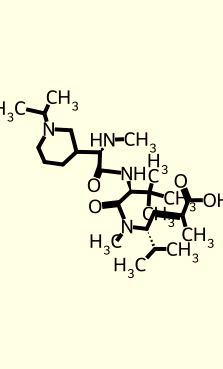 CN[C@H](C(=O)N[C@H](C(=O)N(C)[C@H](/C=C(\C)C(=O)O)C(C)C)C(C)(C)C)C1CCCN(C(C)C)C1